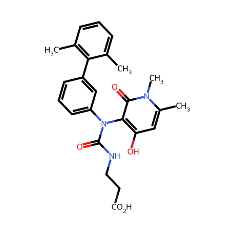 Cc1cccc(C)c1-c1cccc(N(C(=O)NCCC(=O)O)c2c(O)cc(C)n(C)c2=O)c1